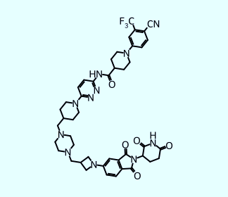 N#Cc1ccc(N2CCC(C(=O)Nc3ccc(N4CCC(CN5CCN(CC6CN(c7ccc8c(c7)C(=O)N(C7CCC(=O)NC7=O)C8=O)C6)CC5)CC4)nn3)CC2)cc1C(F)(F)F